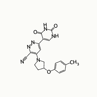 Cc1ccc(OC2CCN(c3cc(-c4c[nH]c(=O)[nH]c4=O)nnc3C#N)C2)cc1